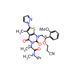 COc1ccccc1[C@H](Cn1c(=O)n([C@H](C)C(=O)N(C)C(C)C)c(=O)c2c(C)c(-n3cccn3)sc21)OCCC#N